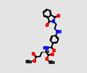 CC(C)(C)OC(=O)CC[C@H](NC(=O)c1ccc(NCCN2C(=O)c3ccccc3C2=O)cc1)C(=O)OC(C)(C)C